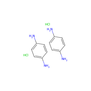 Cl.Cl.Nc1ccc(N)cc1.Nc1ccc(N)cc1